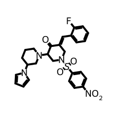 O=C1C(=Cc2ccccc2F)CN(S(=O)(=O)c2ccc([N+](=O)[O-])cc2)CC1N1CCCC(n2cccc2)C1